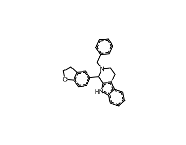 c1ccc(CN2CCc3c([nH]c4ccccc34)C2c2ccc3c(c2)CCO3)cc1